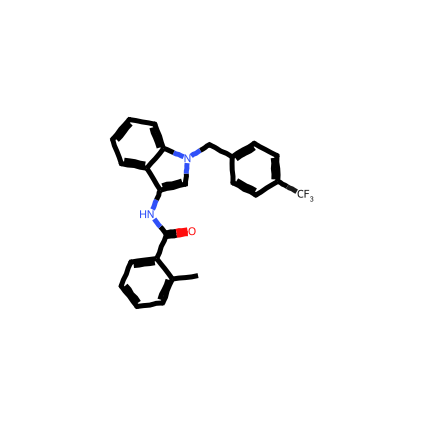 Cc1ccccc1C(=O)Nc1cn(Cc2ccc(C(F)(F)F)cc2)c2ccccc12